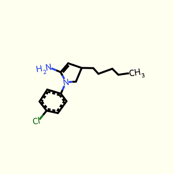 CCCCCC1C=C(N)N(c2ccc(Cl)cc2)C1